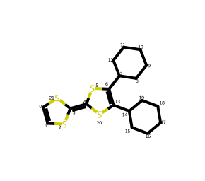 C1=CSC(=C2SC(C3CCCCC3)=C(C3CCCCC3)S2)S1